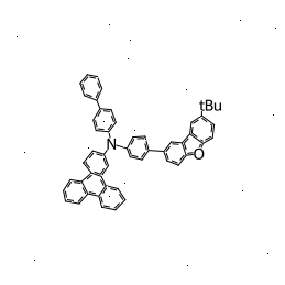 CC(C)(C)c1ccc2oc3ccc(-c4ccc(N(c5ccc(-c6ccccc6)cc5)c5ccc6c7ccccc7c7ccccc7c6c5)cc4)cc3c2c1